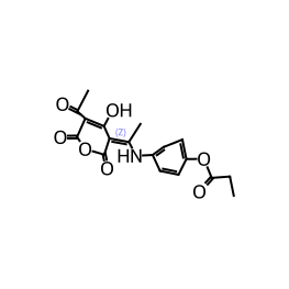 CCC(=O)Oc1ccc(N/C(C)=C2\C(=O)OC(=O)C(C(C)=O)=C2O)cc1